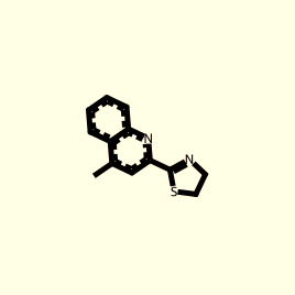 Cc1cc(C2=NCCS2)nc2ccccc12